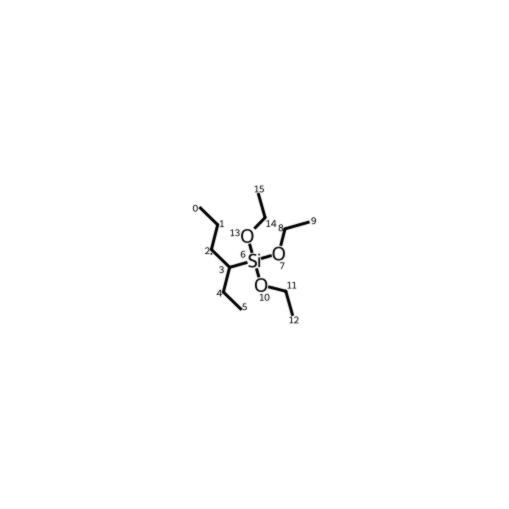 CC[CH]C(CC)[Si](OCC)(OCC)OCC